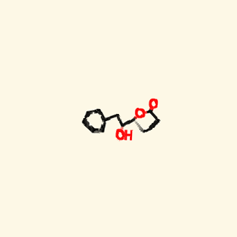 O=C1C=CC[C@H]([C@H](O)Cc2ccccc2)O1